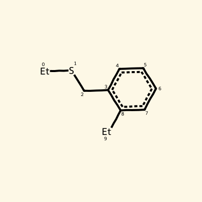 CCSCc1ccccc1CC